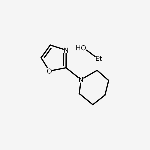 CCO.c1coc(N2CCCCC2)n1